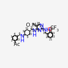 CC(=O)c1cccc(CN[C@H]2CC[C@H](CNc3nc(NCc4ccccc4OC(F)(F)F)ncc3[N+](=O)[O-])CC2)c1